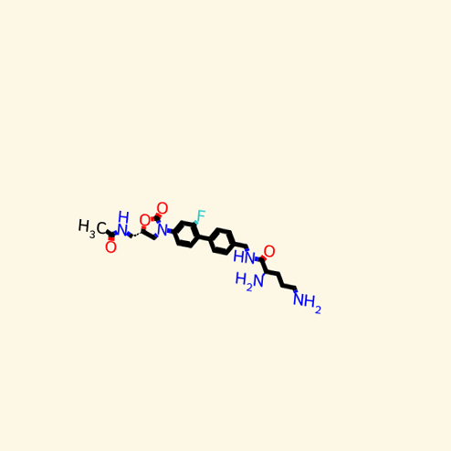 CC(=O)NC[C@H]1CN(c2ccc(-c3ccc(CNC(=O)[C@@H](N)CCCN)cc3)c(F)c2)C(=O)O1